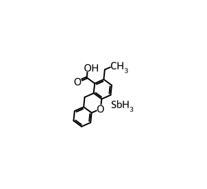 CCc1ccc2c(c1C(=O)O)Cc1ccccc1O2.[SbH3]